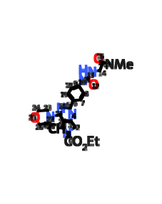 CCOC(=O)N1Cc2nc(-c3ccc(NC(=O)NCC(=O)NC)cc3)nc(N3CCOC[C@@H]3C)c2C1